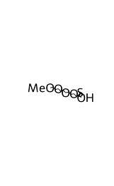 COCCOCCOCCOCC(O)=S